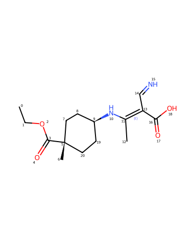 CCOC(=O)[C@]1(C)CC[C@@H](N/C(C)=C(\C=N)C(=O)O)CC1